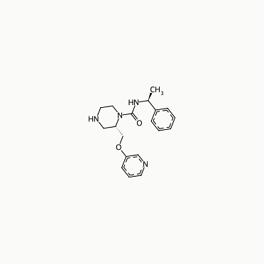 C[C@H](NC(=O)N1CCNC[C@H]1COc1cccnc1)c1ccccc1